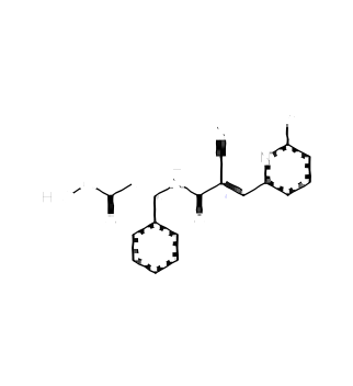 COC(=O)C[C@H](NC(=O)/C(C#N)=C/c1cccc(Br)n1)c1ccccc1